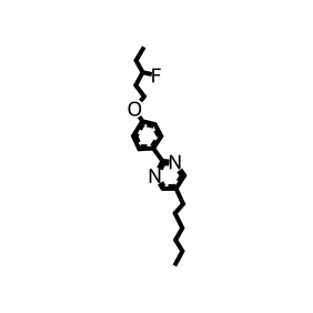 CCCCCCc1cnc(-c2ccc(OCCC(F)CC)cc2)nc1